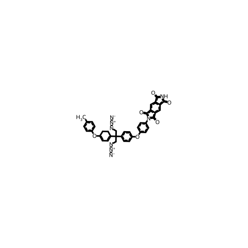 Cc1ccc(OC2=CC=C(C(CN=[N+]=[N-])(CN=[N+]=[N-])c3ccc(Oc4ccc(-n5c(=O)c6cc7c(=O)[nH]c(=O)c7cc6c5=O)cc4)cc3)CC2)cc1